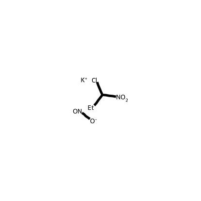 CCC(Cl)[N+](=O)[O-].O=N[O-].[K+]